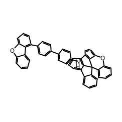 c1ccc2c(c1)Oc1cccc(Nc3ccc(-c4ccc(-c5cccc6oc7ccccc7c56)cc4)cc3)c1C21c2ccccc2-c2ccccc21